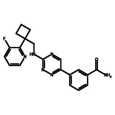 NC(=O)c1cccc(-c2cnc(NCC3(c4ncccc4F)CCC3)nn2)c1